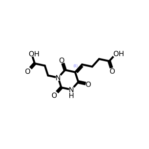 O=C(O)CC/C=C1\C(=O)NC(=O)N(CCC(=O)O)C1=O